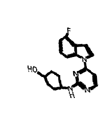 OC1CCC(Nc2nccc(-n3ccc4c(F)cccc43)n2)CC1